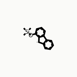 C[Si](C)(C)Oc1cccc2c1[CH]c1ccccc1-2